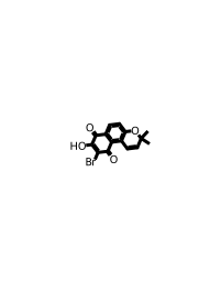 CC1(C)C=Cc2c(ccc3c2C(=O)C(Br)=C(O)C3=O)O1